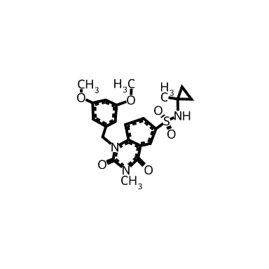 COc1cc(Cn2c(=O)n(C)c(=O)c3cc(S(=O)(=O)NC4(C)CC4)ccc32)cc(OC)c1